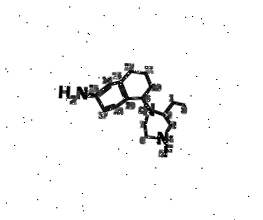 CCC1CN(F)CCN1C1CCCc2cc(N)ccc21